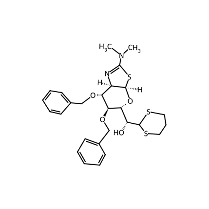 CN(C)C1=N[C@@H]2[C@@H](OCc3ccccc3)[C@H](OCc3ccccc3)[C@@H]([C@@H](O)C3SCCCS3)O[C@@H]2S1